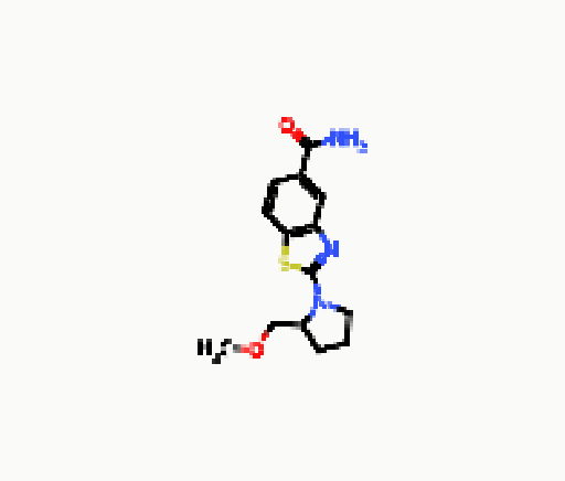 COCC1CCCN1c1nc2cc(C(N)=O)ccc2s1